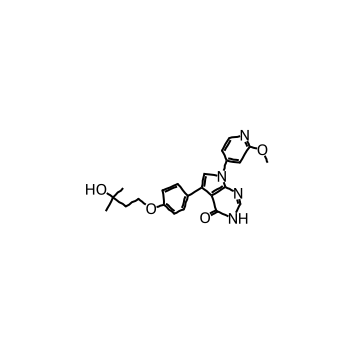 COc1cc(-n2cc(-c3ccc(OCCC(C)(C)O)cc3)c3c(=O)[nH]cnc32)ccn1